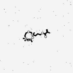 C=C(C)C(=O)OCCC[Si]1(C)COCC[Si](C)(C)O[SiH](C)O1